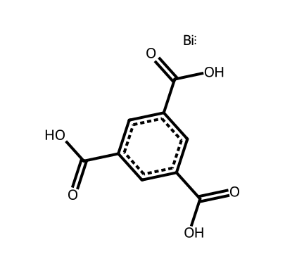 O=C(O)c1cc(C(=O)O)cc(C(=O)O)c1.[Bi]